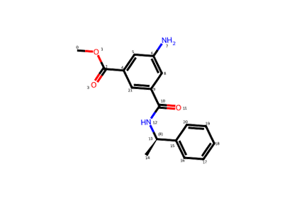 COC(=O)c1cc(N)cc(C(=O)N[C@H](C)c2ccccc2)c1